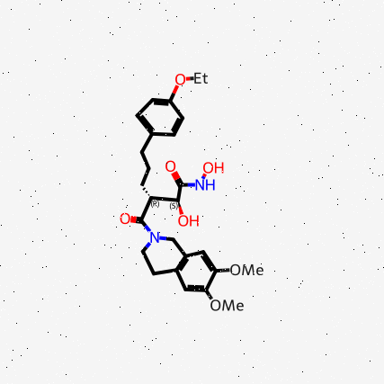 CCOc1ccc(CCC[C@@H](C(=O)N2CCc3cc(OC)c(OC)cc3C2)[C@H](O)C(=O)NO)cc1